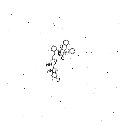 COC(=O)N[C@H](C(=O)Nc1ccccc1CC[C@@H]1CN[C@H](c2nc3cc(Cl)c(C)cc3[nH]2)CO1)C(c1ccccc1)c1ccccc1